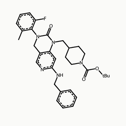 Cc1cccc(F)c1N1Cc2cnc(NCc3ccccc3)cc2N(CC2CCN(C(=O)OC(C)(C)C)CC2)C1=O